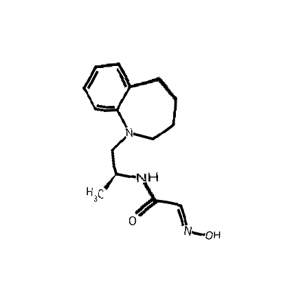 C[C@@H](CN1CCCCc2ccccc21)NC(=O)/C=N/O